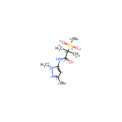 Cn1nc(C(C)(C)C)cc1NC(=O)C(C)(C)S(=O)(=O)C(C)(C)C